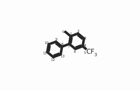 Cc1ccc(C(F)(F)F)cc1-c1ccccc1